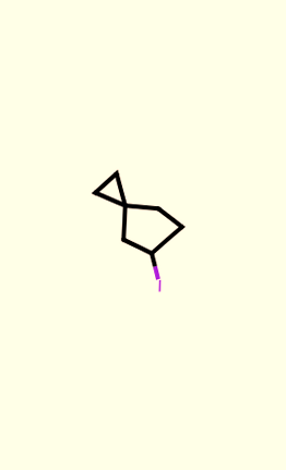 IC1CCC2(CC2)C1